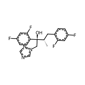 C[C@@H](Cc1ccc(F)cc1F)[C@](O)(Cn1cncn1)c1ccc(F)cc1F